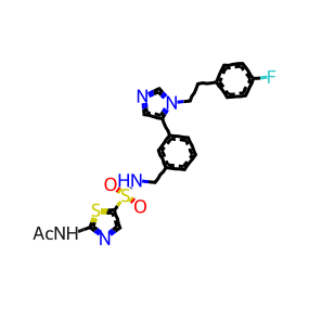 CC(=O)Nc1ncc(S(=O)(=O)NCc2cccc(-c3cncn3CCc3ccc(F)cc3)c2)s1